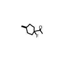 C=C1CCC(F)(C(C)=O)CC1